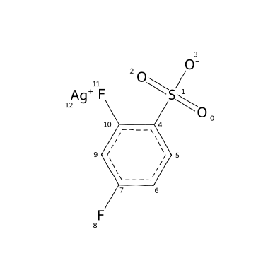 O=S(=O)([O-])c1ccc(F)cc1F.[Ag+]